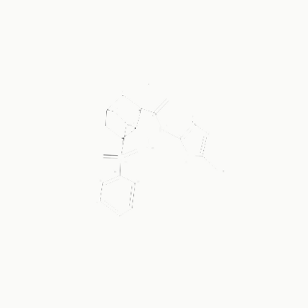 CC(C)(C)c1nnc(NC(=O)[C@@H]2C[C@@H]3CC[C@H]2N(S(=O)(=O)c2ccccc2)C3)s1